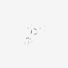 CC(C)(C)c1ccc(OS(=O)(=O)C(F)(F)C(F)(F)F)c(C(C)(C)C)c1